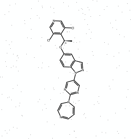 C[C@@H](Oc1ccc2c(cnn2-c2cnc(N3C=CC=NC=C3)nc2)c1)c1c(Cl)cncc1Cl